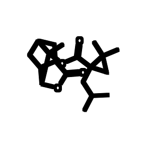 CC(C)CC1(C(=O)OC2(C)C3CC4C(=O)OC2C4C3)CC1(C)C